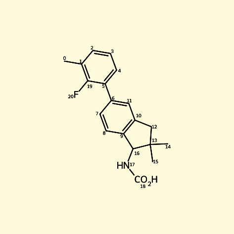 Cc1cccc(-c2ccc3c(c2)CC(C)(C)C3NC(=O)O)c1F